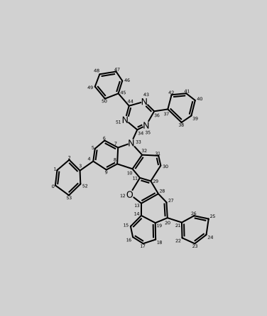 c1ccc(-c2ccc3c(c2)c2c4oc5c6ccccc6c(-c6ccccc6)cc5c4ccc2n3-c2nc(-c3ccccc3)nc(-c3ccccc3)n2)cc1